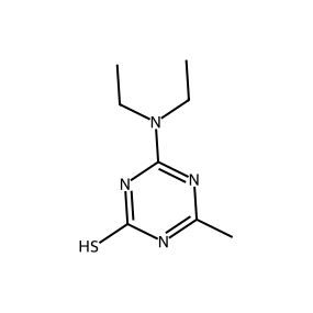 CCN(CC)c1nc(C)nc(S)n1